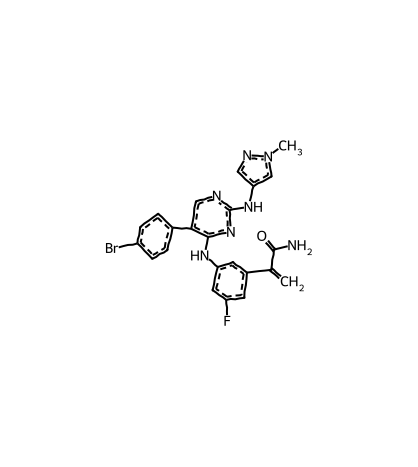 C=C(C(N)=O)c1cc(F)cc(Nc2nc(Nc3cnn(C)c3)ncc2-c2ccc(Br)cc2)c1